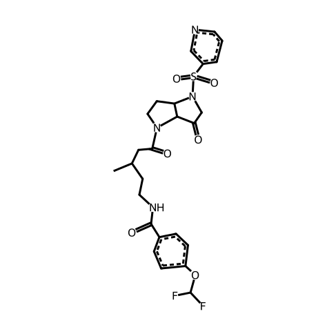 CC(CCNC(=O)c1ccc(OC(F)F)cc1)CC(=O)N1CCC2C1C(=O)CN2S(=O)(=O)c1cccnc1